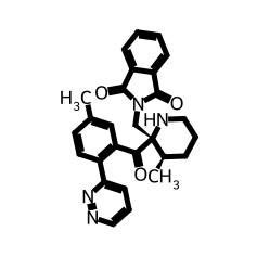 Cc1ccc(-c2cccnn2)c(C(=O)[C@]2(CN3C(=O)c4ccccc4C3=O)NCCC[C@H]2C)c1